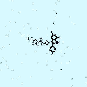 C[C@H](O)CNC(=O)O[C@H]1C[C@H](c2c(-c3ccc(F)cc3)[nH]c3c(F)cc(F)cc32)C1